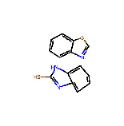 Sc1nc2ccccc2[nH]1.c1ccc2scnc2c1